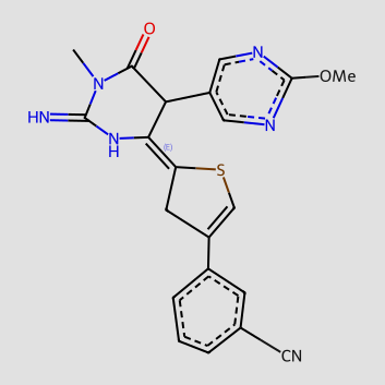 COc1ncc(C2C(=O)N(C)C(=N)N/C2=C2\CC(c3cccc(C#N)c3)=CS2)cn1